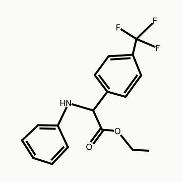 CCOC(=O)C(Nc1ccccc1)c1ccc(C(F)(F)F)cc1